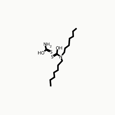 CCCCCCCN(CCCCCCC)C(O)=S.NC(O)=S